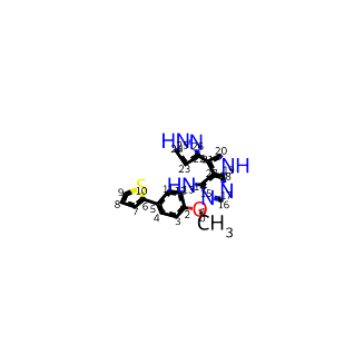 COc1ccc(-c2cccs2)cc1Nc1ncnc2[nH]cc(-c3cc[nH]n3)c12